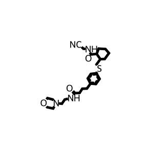 N#CCNC(=O)C1CCCCC1CSc1ccc(CCCC(=O)NCCN2CCOCC2)cc1